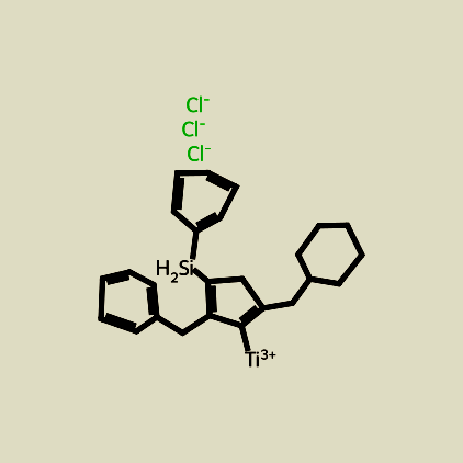 [Cl-].[Cl-].[Cl-].[Ti+3][C]1=C(CC2CCCCC2)CC([SiH2]c2ccccc2)=C1Cc1ccccc1